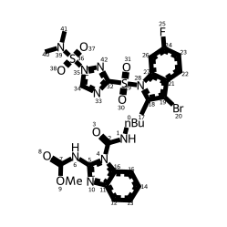 CCCCNC(=O)n1c(NC(=O)OC)nc2ccccc21.Cc1c(Br)c2ccc(F)cc2n1S(=O)(=O)c1ncn(S(=O)(=O)N(C)C)n1